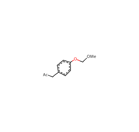 COCOc1ccc(CC(C)=O)cc1